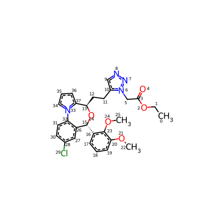 CCOC(=O)Cn1nncc1CC[C@H]1O[C@H](c2cccc(OC)c2OC)c2cc(Cl)ccc2-n2cccc21